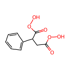 O=C(CC(C(=O)OO)c1ccccc1)OO